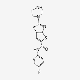 O=C(Nc1ccc(F)cc1)c1cc2sc(N3CCNCC3)nc2s1